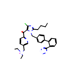 CCCCc1nc(Cl)c(C(=O)c2ccc(C[N+]([O-])(CC)CC)cn2)n1Cc1ccc(-c2ccccc2-c2nnn[nH]2)cc1